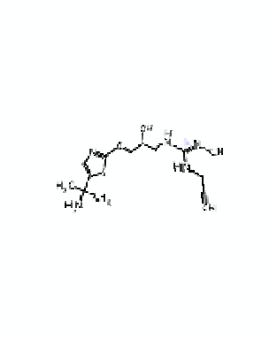 C#CCN/C(=N\C#N)NCC(O)COc1ncc(C(C)(C)N)s1